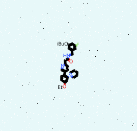 CCOc1ccc(-c2ccc(CC(=O)NCc3cc(F)cc(OCC(C)C)c3)nc2)c(N2CCCCC2)c1